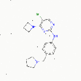 Brc1cnc(Nc2ccc(CN3CCCC3)cc2)nc1N1CCC1